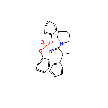 CC(C(=NP(=O)(Oc1ccccc1)Oc1ccccc1)N1CCCCC1)c1ccccc1